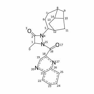 CC1C(=O)N(C2CCC3CC4CC2CC34)N1C(=O)c1cnc2ccccc2n1